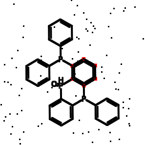 O=[PH](c1ccccc1P(c1ccccc1)c1ccccc1)c1ccccc1P(c1ccccc1)c1ccccc1